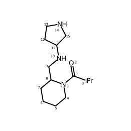 CC(C)C(=O)N1CCCCC1CNC1CCNC1